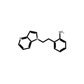 O=[N+]([O-])c1ccccc1CCn1ccc2ncccc21